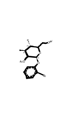 CC(=O)OCC1O[C@@H](Oc2ccccc2Br)C(OC(C)=O)[C@@H](C)[C@@H]1C